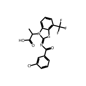 CC(C(=O)O)n1c(=NC(=O)c2cccc(Cl)c2)sc2c(C(F)(F)F)cccc21